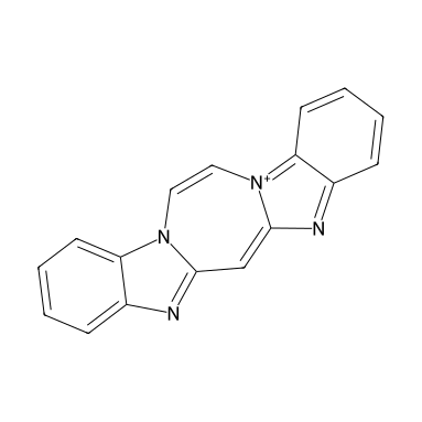 c1ccc2c(c1)nc1cc3nc4ccccc4[n+]-3ccn12